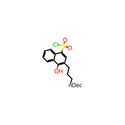 CCCCCCCCCCCCCc1cc(S(=O)(=O)Cl)c2ccccc2c1O